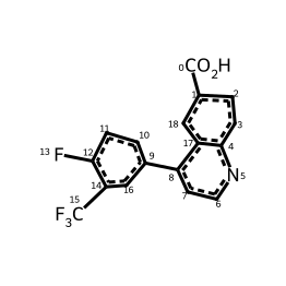 O=C(O)c1ccc2nccc(-c3ccc(F)c(C(F)(F)F)c3)c2c1